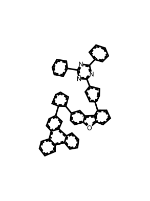 c1ccc(-c2nc(-c3ccccc3)nc(-c3ccc(-c4cccc5oc6ccc(-c7ccccc7-c7ccc8c9ccccc9c9ccccc9c8c7)cc6c45)cc3)n2)cc1